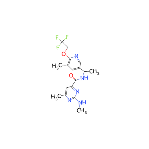 CNc1nc(C)cc(C(=O)NC(C)c2cnc(OCC(F)(F)F)c(C)c2)n1